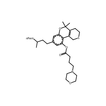 CCCCCC(C)CCc1cc(OC(=O)CCCN2CCOCC2)c2c(c1)OC(C)(C)C1=C2CSCC1